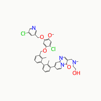 COc1cc(Cl)c(OCc2cccc(-c3cccc(-c4ccn5c(=O)c(CN(C)CCO)cnc5c4)c3C)c2C)cc1OCc1cncc(Cl)c1